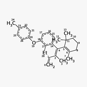 C=C/C(C)=C(/C1=C(C)CCCC1(C)C)c1cccc(Oc2ccc(C)cc2)c1CC